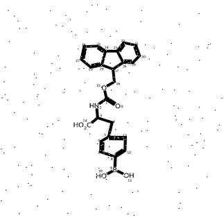 O=C(NC(Cc1ccc(B(O)O)cc1)C(=O)O)OCC1c2ccccc2-c2ccccc21